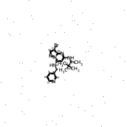 C[C@H](Nc1cc(NCc2cccnc2)n2ncc(Br)c2n1)C(C)(C)C